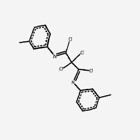 Cc1cccc(N=C(Cl)C(Cl)(Cl)C(Cl)=Nc2cccc(C)c2)c1